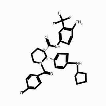 Cc1ccc(NC(=O)[C@H]2CCCN(C(=O)c3ccc(Cl)cc3)[C@H]2c2ccc(NC3CCCC3)cc2)cc1C(F)(F)F